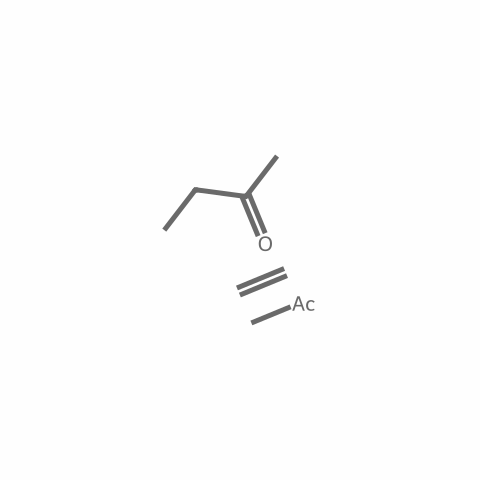 C=C.CC(C)=O.CCC(C)=O